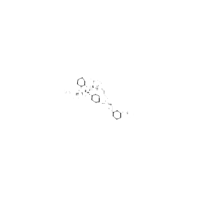 CCOc1cccc(NC(=O)N(CCCN2CCC(C)CC2)Cc2ccc(C(=O)Nc3ccccc3NC(=O)OC(C)(C)C)cc2)c1